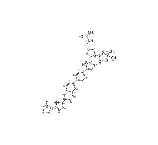 CC(=O)NC[C@H]1C[C@@H](c2ncc(-c3ccc(-c4ccc5cc(-c6cnc([C@@H]7CCCN7)[nH]6)ccc5c4)cc3)[nH]2)N(C(=O)OC(C)(C)C)C1